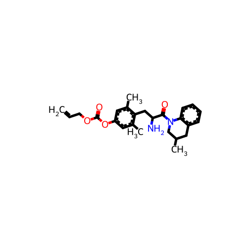 C=CCOC(=O)Oc1cc(C)c(CC(N)C(=O)N2CC(C)Cc3ccccc32)c(C)c1